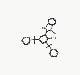 CN1c2ccccc2NN1c1cc(C(C)(C)c2ccccc2)cc(C(C)(C)c2ccccc2)c1O